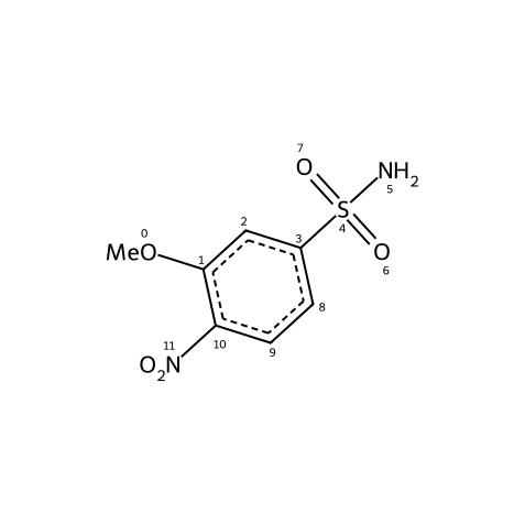 COc1cc(S(N)(=O)=O)ccc1[N+](=O)[O-]